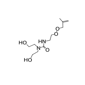 C=C(C)COOCCNC(=O)N(CCO)CCO